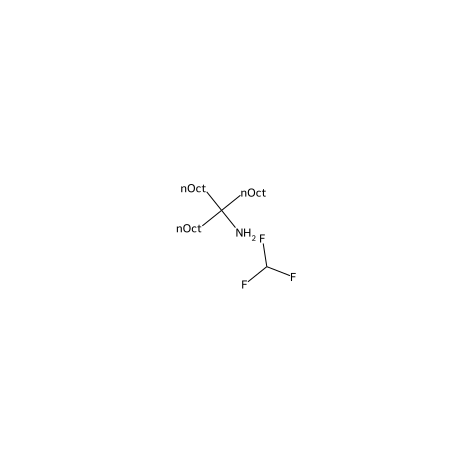 CCCCCCCCC(N)(CCCCCCCC)CCCCCCCC.FC(F)F